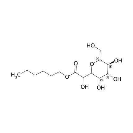 CCCCCCOC(=O)C(O)C1O[C@H](CO)[C@@H](O)[C@H](O)[C@@H]1O